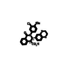 CC(C)(C)c1ccc(N2C(=O)c3ccccc3[C@H](C(=O)O)[C@H]2c2ccc3c(c2)SCCS3)cc1Cl